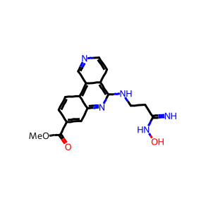 COC(=O)c1ccc2c(c1)nc(NCCC(=N)NO)c1ccncc12